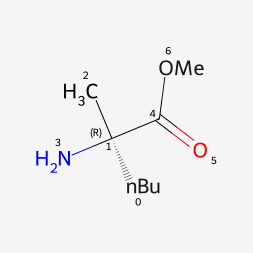 CCCC[C@@](C)(N)C(=O)OC